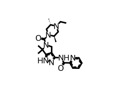 CCN1C[C@@H](C)N(C(=O)N2Cc3c(NC(=O)c4ccccn4)n[nH]c3C2(C)C)C[C@@H]1C